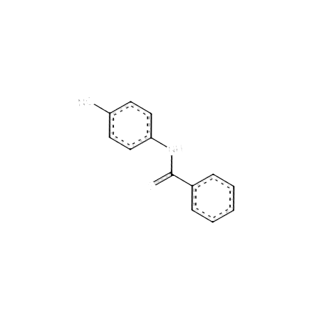 N#Cc1ccc(NC(=S)c2ccccc2)cc1